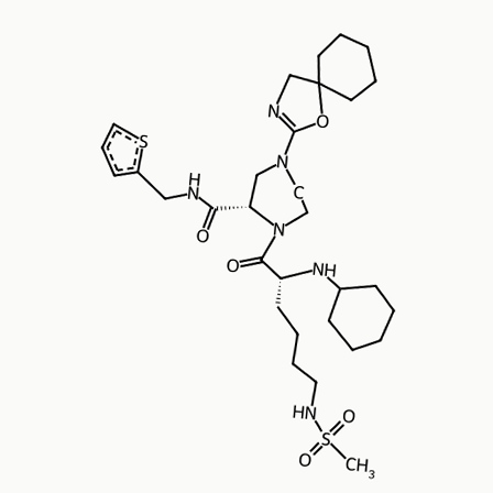 CS(=O)(=O)NCCCC[C@@H](NC1CCCCC1)C(=O)N1CCN(C2=NCC3(CCCCC3)O2)C[C@H]1C(=O)NCc1cccs1